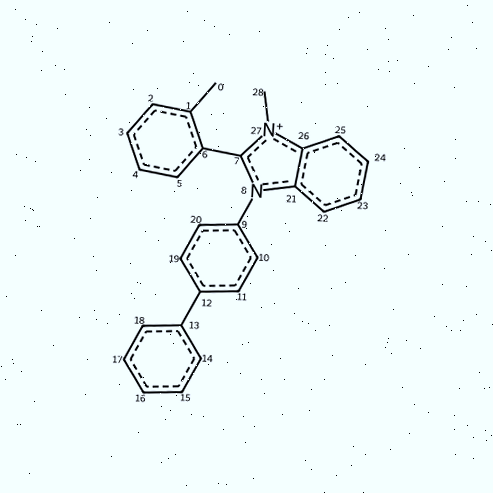 Cc1ccccc1-c1n(-c2ccc(-c3ccccc3)cc2)c2ccccc2[n+]1C